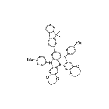 CC(C)(C)c1ccc(N2c3cc4c(cc3B3c5cc6c(cc5N(c5ccc(C(C)(C)C)cc5)c5cc(-c7ccc8c(c7)C(C)(C)c7ccccc7-8)cc2c53)OCCCO6)OCCCO4)cc1